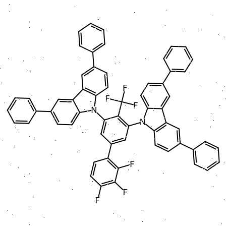 Fc1ccc(-c2cc(-n3c4ccc(-c5ccccc5)cc4c4cc(-c5ccccc5)ccc43)c(C(F)(F)F)c(-n3c4ccc(-c5ccccc5)cc4c4cc(-c5ccccc5)ccc43)c2)c(F)c1F